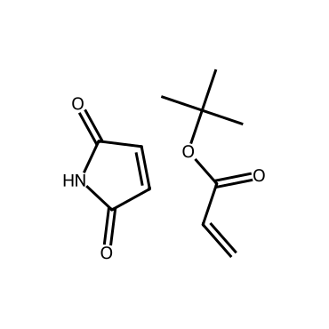 C=CC(=O)OC(C)(C)C.O=C1C=CC(=O)N1